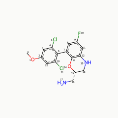 COc1cc(Cl)c(-c2cc(F)cc3c2O[C@@H](CN)CN3)c(Cl)c1